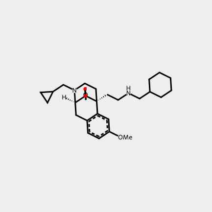 COc1ccc2c(c1)[C@]1(CCNCC3CCCCC3)CCN(CC3CC3)[C@H](C2)[C@]12CCCCO2